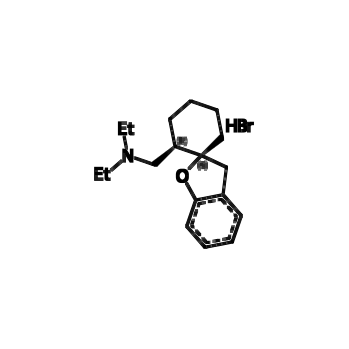 Br.CCN(CC)C[C@H]1CCCC[C@]12Cc1ccccc1O2